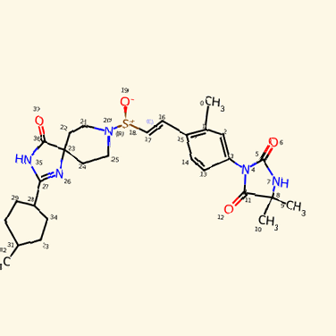 Cc1cc(N2C(=O)NC(C)(C)C2=O)ccc1/C=C/[S@+]([O-])N1CCC2(CC1)N=C(C1CCC(C)CC1)NC2=O